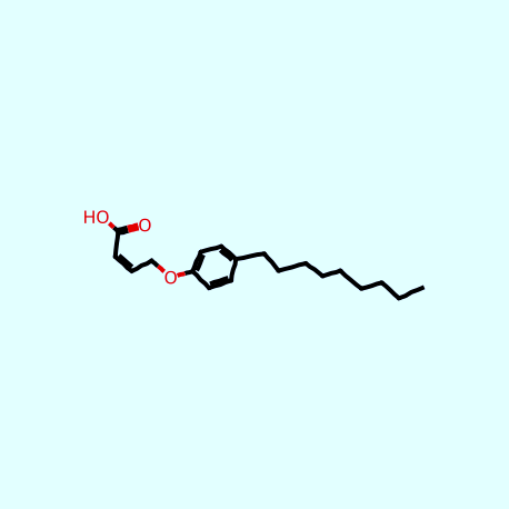 CCCCCCCCCc1ccc(OC/C=C\C(=O)O)cc1